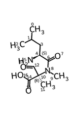 CC(C)C[C@H](N)C(=O)N(C)[C@](C)(C=O)C(=O)O